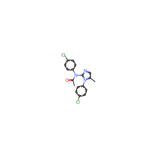 CC(=O)N(c1ccc(Cl)cc1)c1ncc(C)n1-c1ccc(Cl)cc1